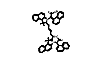 CC1(C)C(/C=C/C=C/C=C2/N(C(C(=O)O)c3cccc4ccccc34)c3ccc4ccccc4c3C2(C)C)=[N+](C(C(=O)O)c2cccc3ccccc23)c2ccc3ccccc3c21